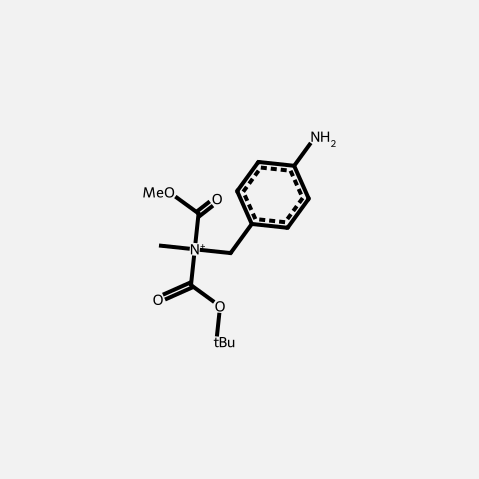 COC(=O)[N+](C)(Cc1ccc(N)cc1)C(=O)OC(C)(C)C